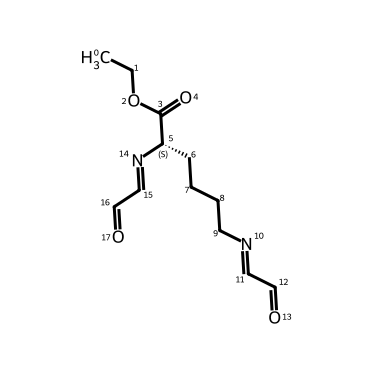 CCOC(=O)[C@H](CCCCN=CC=O)N=CC=O